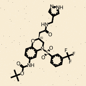 CC(C)(C)OC(=O)Nc1ccc2c(c1)N(S(=O)(=O)c1cccc(C(F)(F)F)c1)C[C@H](CC(=O)NCc1cn[nH]c1)O2